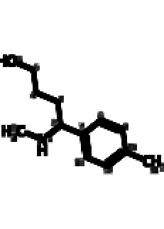 CNC(CCCO)c1ccc(C)cc1